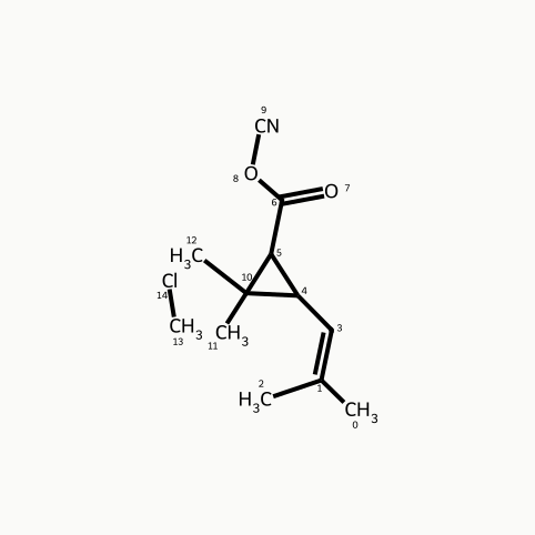 CC(C)=CC1C(C(=O)OC#N)C1(C)C.CCl